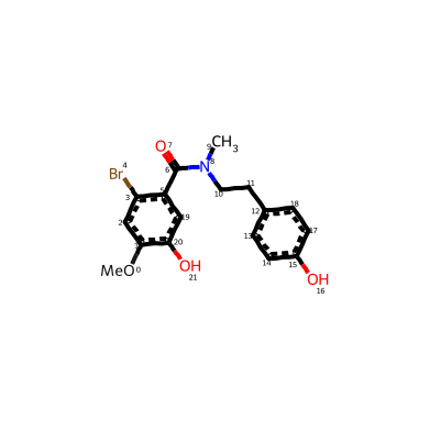 COc1cc(Br)c(C(=O)N(C)CCc2ccc(O)cc2)cc1O